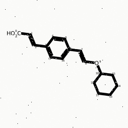 O=C(O)C=Cc1ccc(C=COC2CCCCC2)cc1